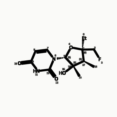 CC[C@@]1(CF)O[C@@H](n2ccc(=O)[nH]c2=O)[C@@](C)(O)[C@@H]1C